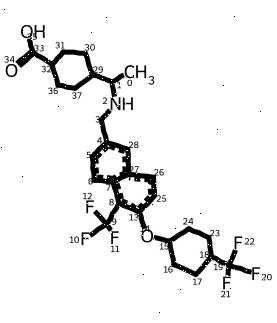 CC(NCc1ccc2c(C(F)(F)F)c(OC3CCC(C(F)(F)F)CC3)ccc2c1)C1CCC(C(=O)O)CC1